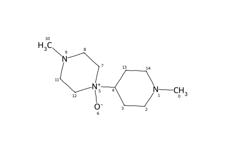 CN1CCC([N+]2([O-])CCN(C)CC2)CC1